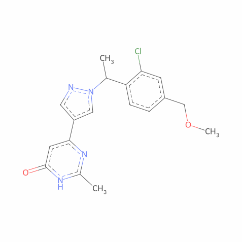 COCc1ccc(C(C)n2cc(-c3cc(=O)[nH]c(C)n3)cn2)c(Cl)c1